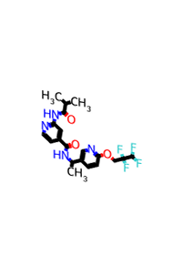 CC(C)C(=O)Nc1cc(C(=O)NC(C)c2ccc(OCC(F)(F)C(F)F)nc2)ccn1